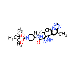 Cc1cc(-c2[nH]nc(C(=O)NC3CCN(C(=O)OC(C)(C)C)CC3)c2C(C)C)cn2ncnc12